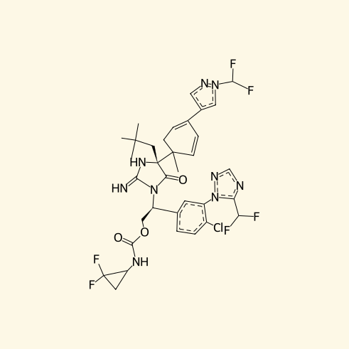 CC(C)(C)C[C@]1(C2(C)C=CC(c3cnn(C(F)F)c3)=CC2)NC(=N)N([C@H](COC(=O)NC2CC2(F)F)c2ccc(Cl)c(-n3ncnc3C(F)F)c2)C1=O